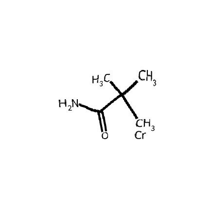 CC(C)(C)C(N)=O.[Cr]